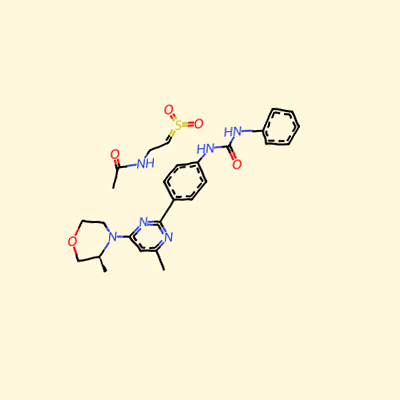 CC(=O)NCC=S(=O)=O.Cc1cc(N2CCOC[C@@H]2C)nc(-c2ccc(NC(=O)Nc3ccccc3)cc2)n1